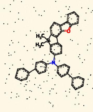 C[Si]1(C)c2cc(N(c3ccc(-c4ccccc4)cc3)c3ccc(-c4ccccc4)cc3)ccc2-c2c1ccc1c2oc2ccccc21